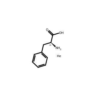 N[C@@H](Cc1ccccc1)C(=O)O.[He]